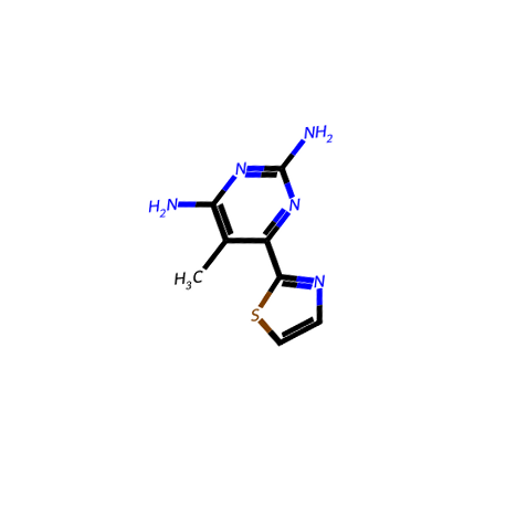 Cc1c(N)nc(N)nc1-c1nccs1